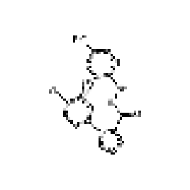 O=C(NNc1ncc(C(F)(F)F)cc1Cl)c1cccn1-c1cc(C(F)(F)F)c(Cl)cn1